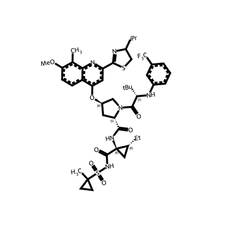 CC[C@@H]1C[C@]1(NC(=O)[C@@H]1C[C@@H](Oc2cc(C3=NC(C(C)C)CS3)nc3c(C)c(OC)ccc23)CN1C(=O)[C@@H](Nc1cccc(C(F)(F)F)c1)C(C)(C)C)C(=O)NS(=O)(=O)C1(C)CC1